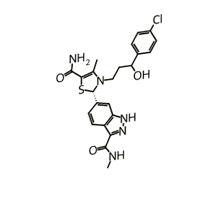 CNC(=O)c1n[nH]c2cc([C@@H]3SC(C(N)=O)=C(C)N3CCC(O)c3ccc(Cl)cc3)ccc12